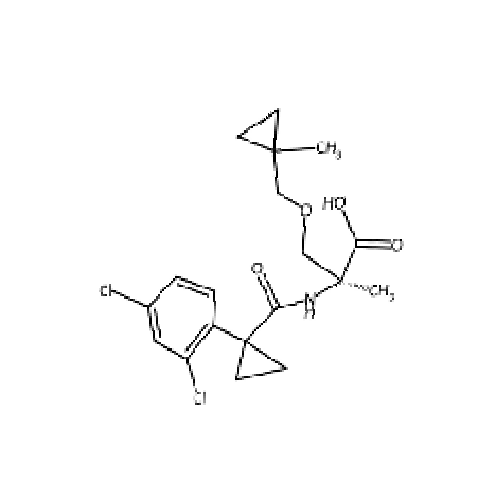 CC1(COC[C@](C)(NC(=O)C2(c3ccc(Cl)cc3Cl)CC2)C(=O)O)CC1